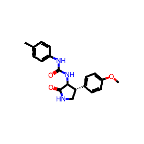 COc1ccc([C@@H]2CNC(=O)C2NC(=O)Nc2ccc(C)cc2)cc1